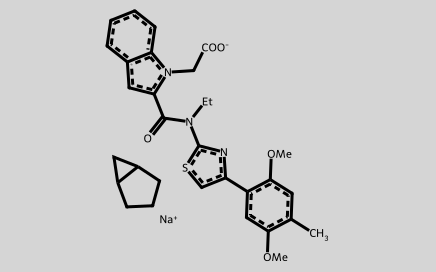 C1CC2CC2C1.CCN(C(=O)c1cc2ccccc2n1CC(=O)[O-])c1nc(-c2cc(OC)c(C)cc2OC)cs1.[Na+]